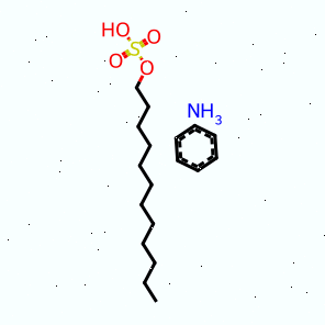 CCCCCCCCCCCCOS(=O)(=O)O.N.c1ccccc1